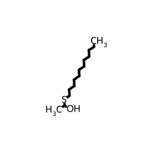 CCCCCCCCCCCCSC(C)O